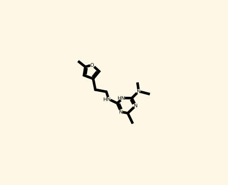 Cc1cc(CCNC2=NC(C)N=C(N(C)C)N2)co1